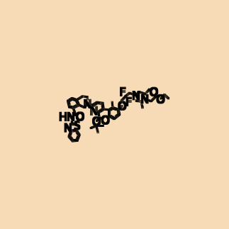 CCOC(=O)CN1[C@H](C)CN(CC(F)(F)COc2cccc(-c3ccc(N4CCc5cccc(C(=O)Nc6nc7ccccc7s6)c5C4)nc3C(=O)OC(C)(C)C)c2C)C[C@@H]1C